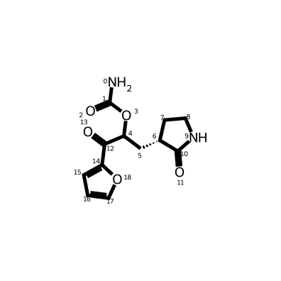 NC(=O)OC(C[C@@H]1CCNC1=O)C(=O)c1ccco1